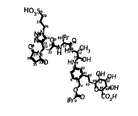 CC(C)C(=O)OCc1ccc(NC(O)[C@H](C)NC(=O)[C@@H](NC(=O)C[C@@H](c2cn(CCCS(=O)(=O)O)nn2)N2C(=O)C=CC2=O)C(C)C)cc1CC[C@@H]1O[C@H](C(=O)O)[C@@H](O)[C@H](O)[C@H]1O